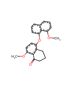 COc1ccc(Oc2cccc3cccc(OC)c23)c2c1C(=O)CCC2